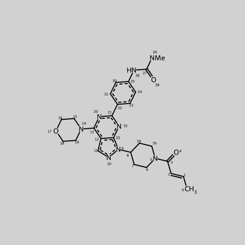 CC=CC(=O)N1CCC(n2ncc3c(N4CCOCC4)nc(-c4ccc(NC(=O)NC)cc4)nc32)CC1